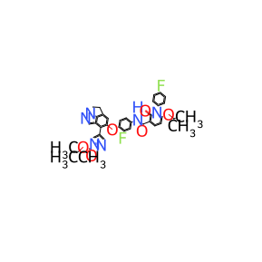 CC(C)Oc1ccc(C(=O)Nc2ccc(Oc3cc4c5c(cnn5CC4)c3-c3cnn(C(=O)OC(C)(C)C)c3)c(F)c2)c(=O)n1-c1ccc(F)cc1